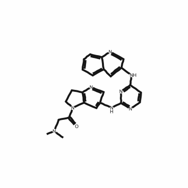 CN(C)CC(=O)N1CCc2ncc(Nc3nccc(Nc4cnc5ccccc5c4)n3)cc21